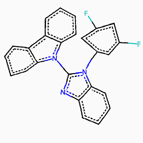 Fc1cc(F)cc(-n2c(-n3c4ccccc4c4ccccc43)nc3ccccc32)c1